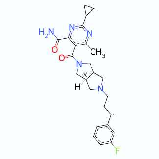 Cc1nc(C2CC2)nc(C(N)=O)c1C(=O)N1CC2CN(CC[CH]c3cccc(F)c3)C[C@H]2C1